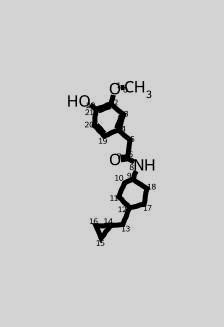 COc1cc(CC(=O)NC2CCC(CC3CC3)CC2)ccc1O